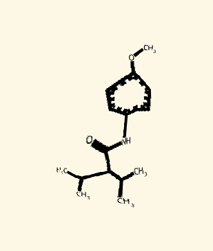 COc1ccc(NC(=O)C(C(C)C)C(C)C)cc1